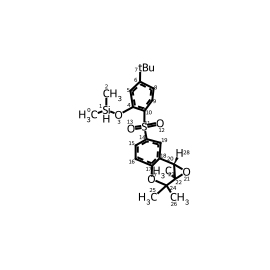 C[SiH](C)Oc1cc(C(C)(C)C)ccc1S(=O)(=O)c1ccc2c(c1)[C@@H]1O[C@]1(C)C(C)(C)O2